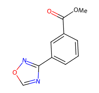 COC(=O)c1cccc(-c2ncon2)c1